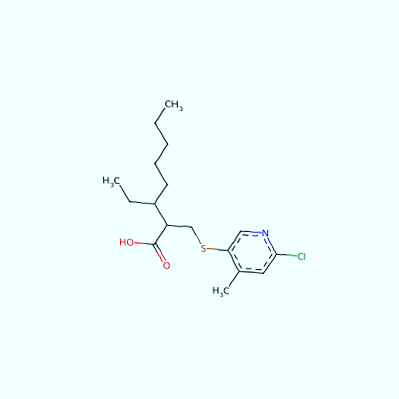 CCCCCC(CC)C(CSc1cnc(Cl)cc1C)C(=O)O